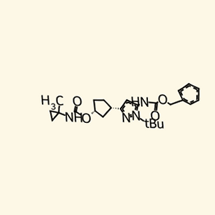 CC1(NC(=O)O[C@@H]2CC[C@H](c3cc(NC(=O)OCc4ccccc4)n(C(C)(C)C)n3)C2)CC1